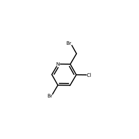 Clc1cc(Br)cnc1CBr